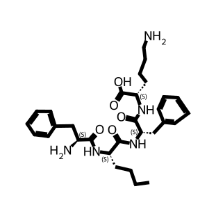 CCCC[C@H](NC(=O)[C@@H](N)Cc1ccccc1)C(=O)N[C@@H](Cc1ccccc1)C(=O)N[C@@H](CCCCN)C(=O)O